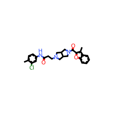 Cc1ccc(NC(=O)CCN2CC3CN(C(=O)c4oc5ccccc5c4C)CC3C2)cc1Cl